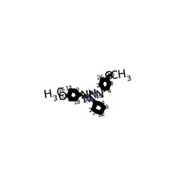 COc1ccc(/N=N/C(=N\Nc2ccc(OC)cc2)c2ccccc2)cc1